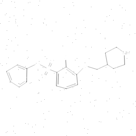 O=S(=O)(Oc1ccccc1)c1cccc(OCC2CCNCC2)c1Cl